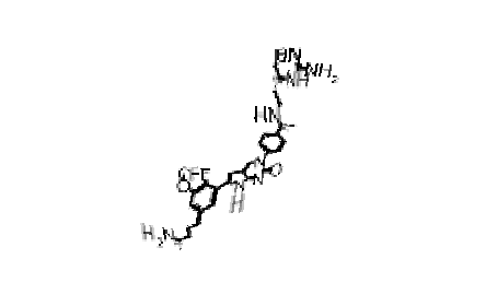 C[C@H](N)CCCc1cc(OC(F)(F)F)c(F)c(-c2cc3cn(-c4ccc([C@H](C)NCC[C@H](CC#N)NC(=N)N)cc4)c(=O)nc3[nH]2)c1